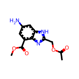 COC(=O)c1cc(N)cc2[nH]c(COC(C)=O)nc12